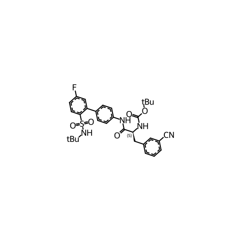 CC(C)(C)NS(=O)(=O)c1ccc(F)cc1-c1ccc(NC(=O)[C@H](Cc2cccc(C#N)c2)NC(=O)OC(C)(C)C)cc1